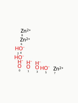 [OH-].[OH-].[OH-].[OH-].[OH-].[OH-].[Zn+2].[Zn+2].[Zn+2]